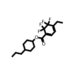 CCCC1CCC(OC(=O)C2=CC=C(CC)C(F)(F)C2(F)F)CC1